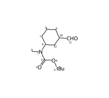 CN(C(=O)OC(C)(C)C)C1CCCC(C=O)C1